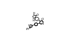 CC(C)n1cc(-c2ccc(-c3cncc(Cl)c3N3CCC4(CC3)NCNC4=O)cc2)cn1